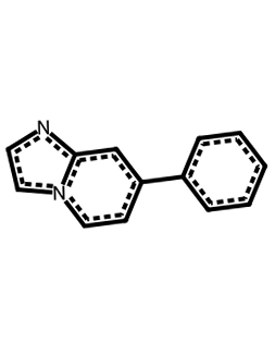 c1ccc(-c2ccn3ccnc3c2)cc1